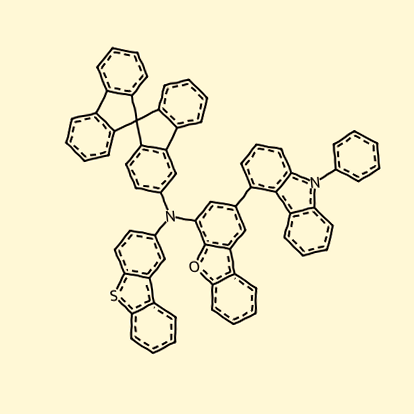 c1ccc(-n2c3ccccc3c3c(-c4cc(N(c5ccc6c(c5)-c5ccccc5C65c6ccccc6-c6ccccc65)c5ccc6sc7ccccc7c6c5)c5oc6ccccc6c5c4)cccc32)cc1